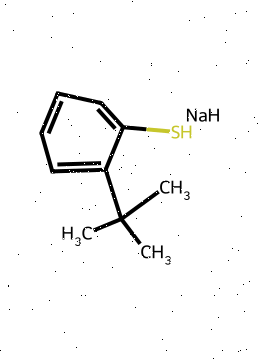 CC(C)(C)c1ccccc1S.[NaH]